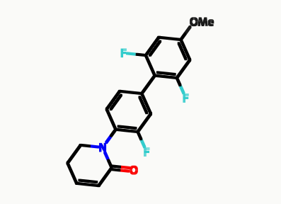 COc1cc(F)c(-c2ccc(N3CCC=CC3=O)c(F)c2)c(F)c1